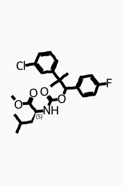 COC(=O)[C@H](CC(C)C)NC(=O)OC(c1ccc(F)cc1)C(C)(C)c1cccc(Cl)c1